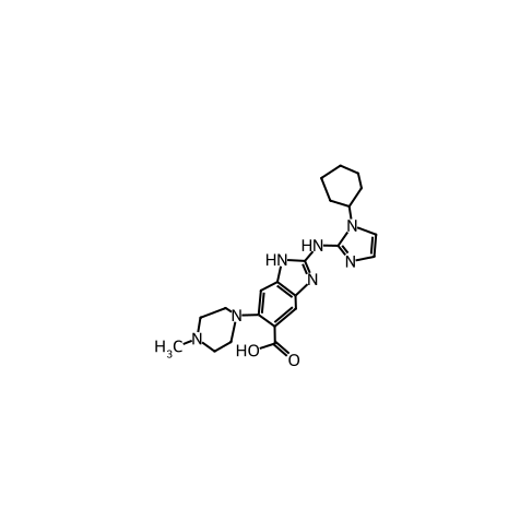 CN1CCN(c2cc3[nH]c(Nc4nccn4C4CCCCC4)nc3cc2C(=O)O)CC1